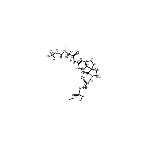 CC/C=C(\CC)CNC(=O)CN1C(=O)O[C@]2(CCc3cc(NC(=O)C(C)(C)NC(=O)OC(C)(C)C)ccc32)C1=O